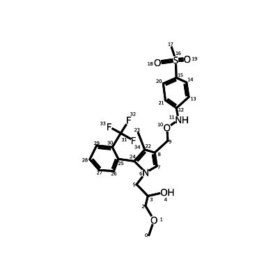 COCC(O)Cn1cc(CONc2ccc(S(C)(=O)=O)cc2)c(C)c1-c1ccccc1C(F)(F)F